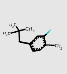 Cc1ccc(CC(C)(C)C)cc1F